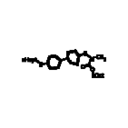 CCCCCCCCOC(=O)[C@@H](C)Sc1ccc(-c2ccc(SCCCCCCC)cc2)cc1